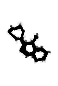 [O]c1c(C2CCCCC2)ccc2ccccc12